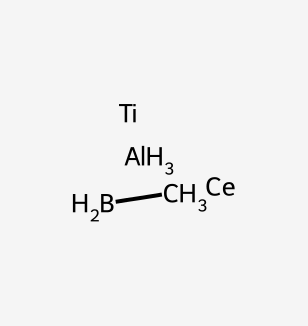 BC.[AlH3].[Ce].[Ti]